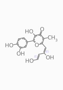 Cc1c(/C=C(O)\C=C\O)oc(-c2ccc(O)c(O)c2)c(O)c1=O